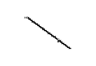 CCCCC=CCCCCCCCC(=O)OCCCCCCCCCCCCCCCCCCCCCCCCCCCCCCCCCCO